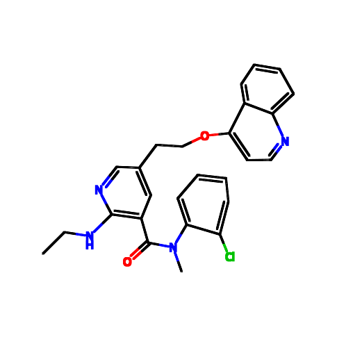 CCNc1ncc(CCOc2ccnc3ccccc23)cc1C(=O)N(C)c1ccccc1Cl